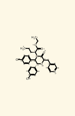 CCC[C@@H](C(=O)OCC)N1C(=O)C(Cc2ccncc2)O[C@H](c2ccc(Cl)cc2)C1c1ccc(Cl)cc1